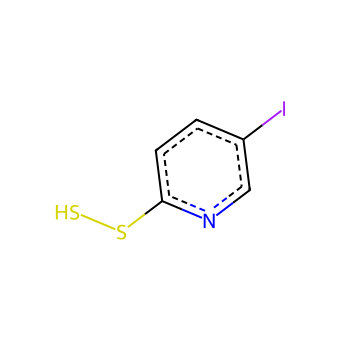 SSc1ccc(I)cn1